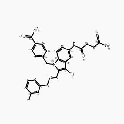 Cc1cccc(CSCc2c(Cl)c3cc(NC(=O)CCC(=O)O)ccc3n2Cc2ccc(C(=O)O)cc2)c1